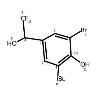 CCC(C)c1cc(C(O)C(F)(F)F)cc(Br)c1O